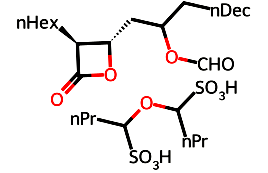 CCCC(OC(CCC)S(=O)(=O)O)S(=O)(=O)O.CCCCCCCCCCCC(C[C@@H]1OC(=O)[C@H]1CCCCCC)OC=O